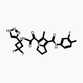 Cc1ccc(NC(=O)c2c(C)c(C(=O)C(=O)NC3(c4c[nH]nn4)CC(F)(F)C3)n3c2CCC3)cc1F